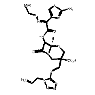 C=CCn1nnnc1SCC1(C(=O)O)CS[C@@H]2C(NC(=O)C(=NOCSC)c3csc(N)n3)C(=O)N2C1